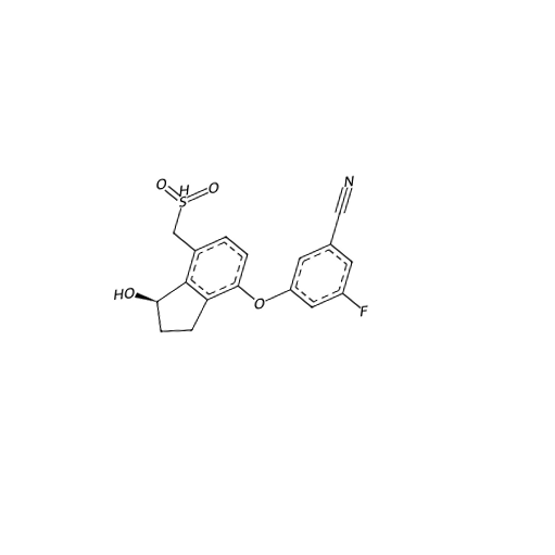 N#Cc1cc(F)cc(Oc2ccc(C[SH](=O)=O)c3c2CC[C@H]3O)c1